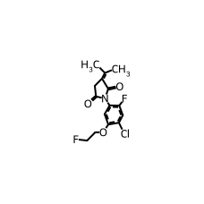 CC(C)=C1CC(=O)N(c2cc(OCCF)c(Cl)cc2F)C1=O